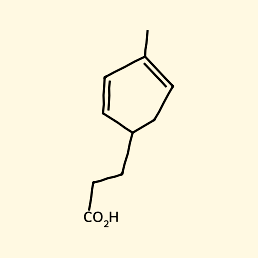 CC1=CCC(CCC(=O)O)C=C1